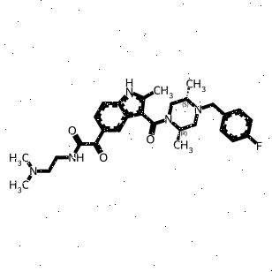 Cc1[nH]c2ccc(C(=O)C(=O)NCCN(C)C)cc2c1C(=O)N1C[C@H](C)N(Cc2ccc(F)cc2)C[C@H]1C